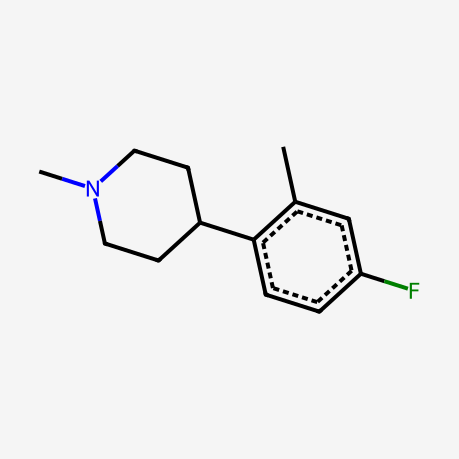 Cc1cc(F)ccc1C1CCN(C)CC1